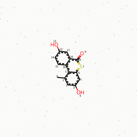 Cc1cc(O)cc2sc(=O)c3cc(O)ccc3c12